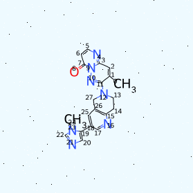 Cc1cc2nccc(=O)n2nc1N1CCc2ncc(-c3cncn3C)cc2C1